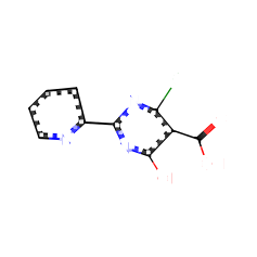 O=C(O)c1c(O)nc(-c2ccccn2)nc1Cl